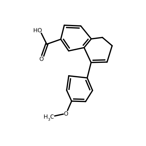 COc1ccc(C2=CCCc3ccc(C(=O)O)cc32)cc1